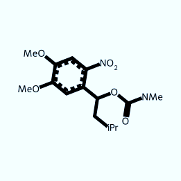 CNC(=O)OC(CC(C)C)c1cc(OC)c(OC)cc1[N+](=O)[O-]